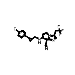 N#Cc1c(NCC2CC2c2ccc(F)cc2)ccn2c(CC(F)(F)F)cnc12